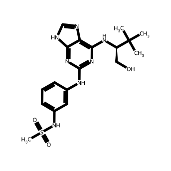 CC(C)(C)[C@@H](CO)Nc1nc(Nc2cccc(NS(C)(=O)=O)c2)nc2[nH]cnc12